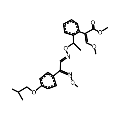 COC=C(C(=O)OC)c1ccccc1C(C)ON=CC(=NOC)c1ccc(OCC(C)C)cc1